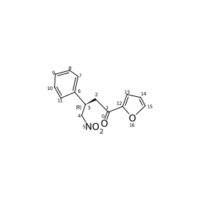 O=C(C[C@@H](C[N+](=O)[O-])c1ccccc1)c1ccco1